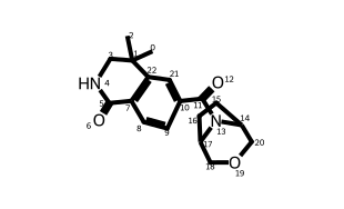 CC1(C)CNC(=O)c2ccc(C(=O)N3C4CCC3COC4)cc21